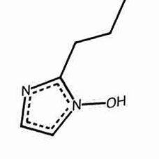 CCCc1nccn1O